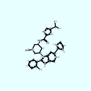 CC(=O)N1C[C@@H](NC(=O)c2ncc(C(F)F)s2)C[C@@H](n2c(-c3ccccc3F)nc3cnc(-c4ncco4)cc32)C1